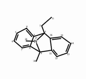 CCC12c3ccccc3C(C)(c3ccccc31)N2C